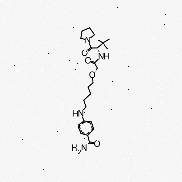 CC(C)(C)[C@H](NC(=O)COCCCCCNc1ccc(C(N)=O)cc1)C(=O)N1CCCC1